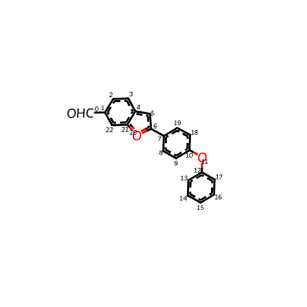 O=Cc1ccc2cc(-c3ccc(Oc4ccccc4)cc3)oc2c1